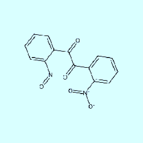 O=Nc1ccccc1C(=O)C(=O)c1ccccc1[N+](=O)[O-]